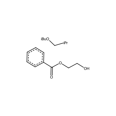 CC(C)COCC(C)C.O=C(OCCO)c1ccccc1